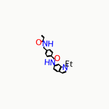 C=CC(=O)NCc1ccc(C(=O)Nc2ccc3ccn(CC)c3c2)cc1